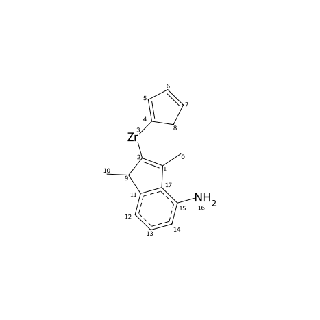 CC1=[C]([Zr][C]2=CC=CC2)C(C)c2cccc(N)c21